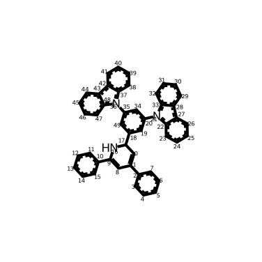 C1=C(c2ccccc2)C=C(c2ccccc2)NC1c1cc(-n2c3ccccc3c3ccccc32)cc(-n2c3ccccc3c3ccccc32)c1